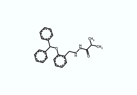 CC(C)C(=O)NNCc1ccccc1OC(c1ccccc1)c1ccccc1